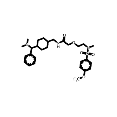 CN(C)C(c1ccccc1)C1CCC(CNC(=O)COCCN(C)S(=O)(=O)c2ccc(OC(F)(F)F)cc2)CC1